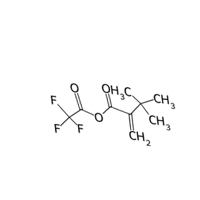 C=C(C(=O)OC(=O)C(F)(F)F)C(C)(C)C